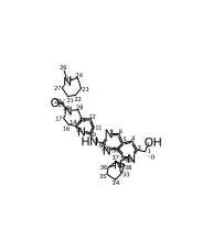 C[C@@H](O)c1cc2cnc(Nc3ccc4c(n3)CCN(C(=O)[C@H]3CCCN(C)C3)C4)nc2c(N2C3CCC2CC3)n1